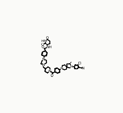 C[C@@H]1CC2(CCN(c3ccc(C(=O)N4CCC(CN5CCN(c6ccc(C(=O)NC7CCC(=O)NC7=O)cc6)CC5)CC4)cc3)CC2)CN1c1ccc(C#N)c(Cl)c1